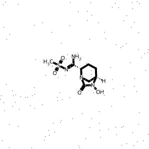 CS(=O)(=O)N=C(N)[C@@H]1CC[C@@H]2CN1C(=O)N2O